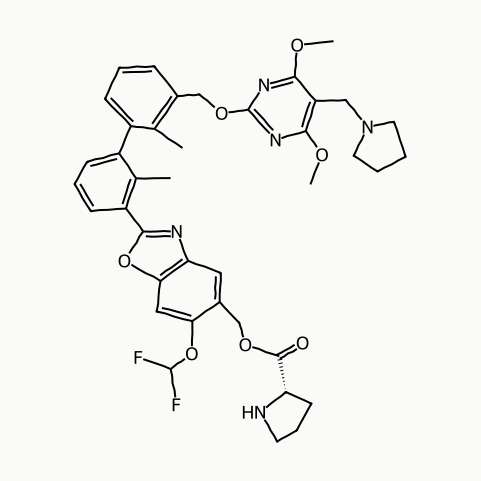 COc1nc(OCc2cccc(-c3cccc(-c4nc5cc(COC(=O)[C@@H]6CCCN6)c(OC(F)F)cc5o4)c3C)c2C)nc(OC)c1CN1CCCC1